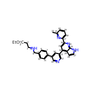 CCOC(=O)CCNCc1ccc(-c2cncc(-c3cc(-c4cccc(C)n4)nc4[nH]ccc34)c2)cc1